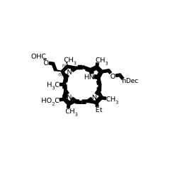 CCCCCCCCCCCOCc1c(C)c2cc3nc(c(C)c4[nH]c(cc5nc(cc1[nH]2)C(C)=C5CC)c(C)c4C(=O)O)[C@@H](CCOC=O)[C@@H]3C